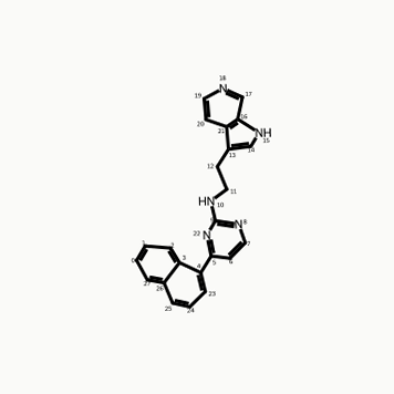 c1ccc2c(-c3ccnc(NCCc4c[nH]c5cnccc45)n3)cccc2c1